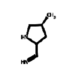 C[C@@H]1CNC(C=N)C1